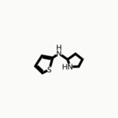 c1csc(NC2CCCN2)c1